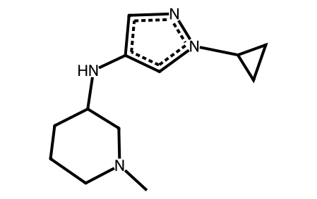 CN1CCCC(Nc2cnn(C3CC3)c2)C1